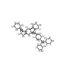 c1ccc(N(c2ccccc2)c2ccc(-n3c4ccccc4c4cc5c(ccn5-c5ccccc5)cc43)cc2)cc1